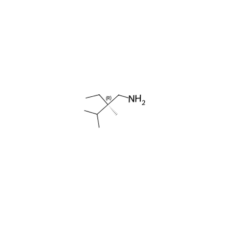 CC[C@@](C)(CN)C(C)C